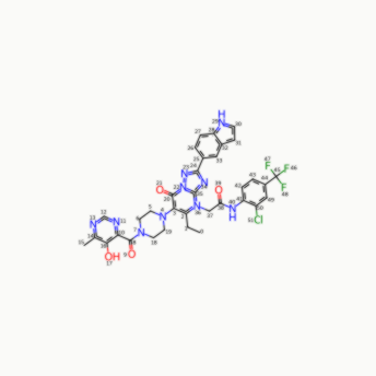 CCc1c(N2CCN(C(=O)c3ncnc(C)c3O)CC2)c(=O)n2nc(-c3ccc4[nH]ccc4c3)nc2n1CC(=O)Nc1ccc(C(F)(F)F)cc1Cl